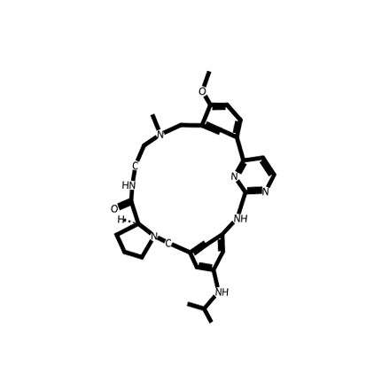 COc1ccc2cc1CN(C)CCNC(=O)[C@@H]1CCCN1Cc1cc(cc(NC(C)C)c1)Nc1nccc-2n1